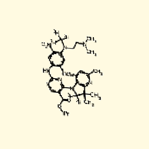 [2H]C([2H])([2H])N(CCN(C)C)c1cc(OC)c(Nc2ncc(C(=O)OC(C)C)c(N3c4ccc(C)nc4C(C)(C)C3([2H])[2H])n2)cc1[N+](=O)[O-]